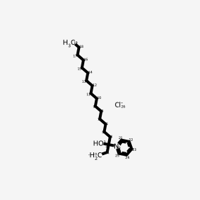 [CH2]CC(O)(CCCCCCCCCCCCCCCC)[n+]1ccccc1.[Cl-]